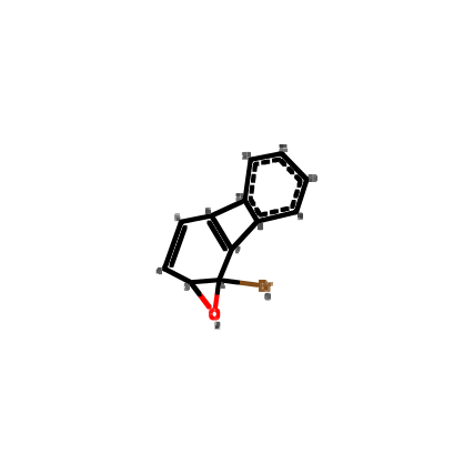 BrC12OC1C=CC1=C2c2ccccc21